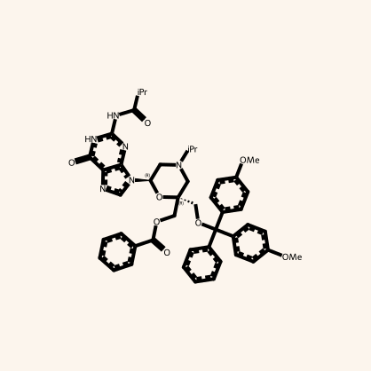 COc1ccc(C(OC[C@@]2(COC(=O)c3ccccc3)CN(C(C)C)C[C@H](n3cnc4c(=O)[nH]c(NC(=O)C(C)C)nc43)O2)(c2ccccc2)c2ccc(OC)cc2)cc1